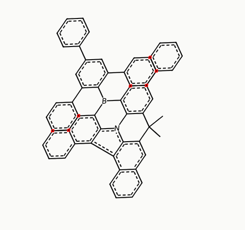 CC1(C)c2cc(-c3ccccc3)cc3c2-n2c4c(cc5ccccc5c4c4c5ccccc5cc1c42)B3c1c(-c2ccccc2)cc(-c2ccccc2)cc1-c1ccccc1